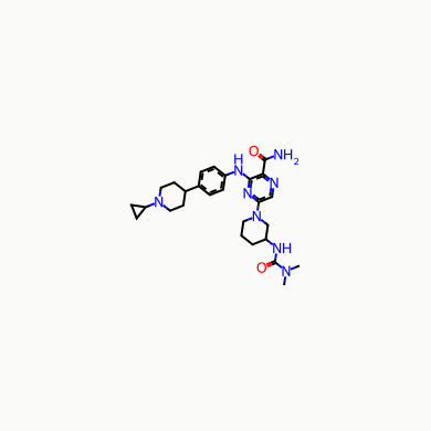 CN(C)C(=O)NC1CCCN(c2cnc(C(N)=O)c(Nc3ccc(C4CCN(C5CC5)CC4)cc3)n2)C1